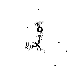 C=CCC(CC)(CC)CCOC(=O)Oc1ccc([N+](=O)[O-])cc1